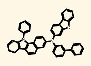 C1=Cc2c(c3ccc4cc(N(c5cccc(-c6ccccc6)c5)c5ccc6c(c5)oc5ccccc56)ccc4c3n2-c2ccccc2)CC1